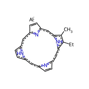 CCc1c(C)c2cc3nc(cc4ccc(cc5nc(cc1[nH]2)C=C5)[nH]4)C=C3.[Al]